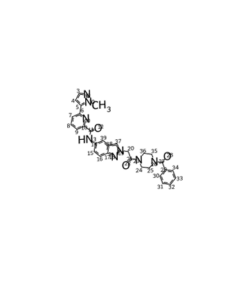 Cn1nccc1-c1cccc(C(=O)Nc2ccc3nn(CC(=O)N4CCN(C(=O)c5ccccc5)CC4)cc3c2)n1